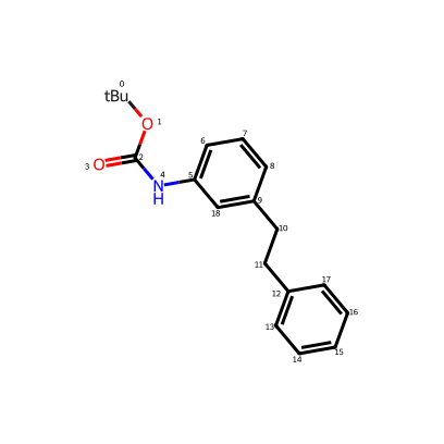 CC(C)(C)OC(=O)Nc1cccc(CCc2ccccc2)c1